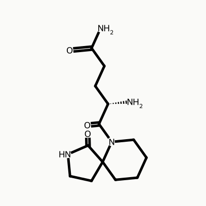 NC(=O)CC[C@H](N)C(=O)N1CCCCC12CCNC2=O